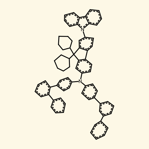 c1ccc(-c2cccc(-c3ccc(N(c4ccc(-c5ccccc5-c5ccccc5)cc4)c4ccc5c(c4)C(C4CCCCC4)(C4CCCCC4)c4cc(-n6c7ccccc7c7ccccc76)ccc4-5)cc3)c2)cc1